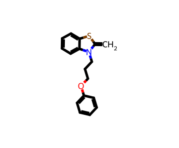 C=C1Sc2ccccc2N1CCCOc1ccccc1